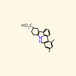 Cc1cc(C)c(-c2cccc3c4c([nH]c23)CCC(C(=O)O)C4)c(C)c1